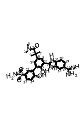 CN(C)C(=O)C(C)(C)c1cc(-c2nc3cc(C(=N)N)ccc3[nH]2)c(O)c(-c2cc(S(N)(=O)=O)ccc2O)c1